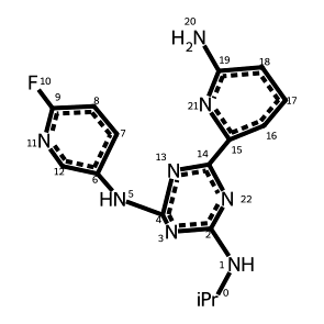 CC(C)Nc1nc(Nc2ccc(F)nc2)nc(-c2cccc(N)n2)n1